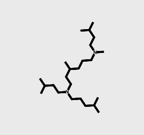 CC(C)CCCN(CCC(C)C)CCC(C)CCCN(C)CCC(C)C